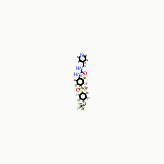 O=C(NCc1ccncc1)Nc1ccc(S(=O)(=O)c2ccc(OC(F)(F)F)cc2)cc1